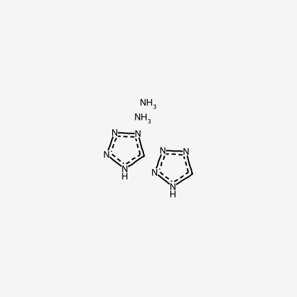 N.N.c1nnn[nH]1.c1nnn[nH]1